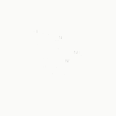 Cc1ccc2c(c1)-c1nc(N)c(CN)c(-c3ccc(Cl)cc3Cl)c1CO2